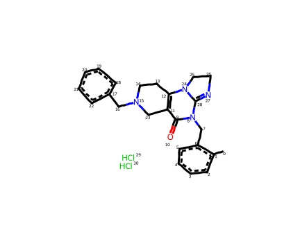 Cc1ccccc1CN1C(=O)C2=C(CCN(Cc3ccccc3)C2)N2CCN=C12.Cl.Cl